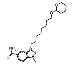 Cc1nn(CCCCCCCCOC2CCCCO2)c2cc(C(N)=O)ccc12